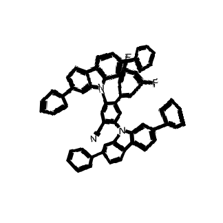 N#Cc1cc(-n2c3cc(-c4ccccc4)ccc3c3ccc(-c4ccccc4)cc32)c(-c2cc(F)cc(F)c2)cc1-n1c2cc(-c3ccccc3)ccc2c2ccc(-c3ccccc3)cc21